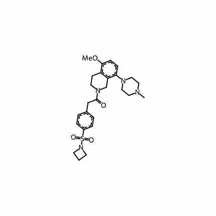 COc1ccc(N2CCN(C)CC2)c2c1CCN(C(=O)Cc1ccc(S(=O)(=O)N3CCC3)cc1)C2